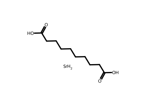 O=C(O)CCCCCCCCC(=O)O.[SrH2]